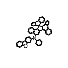 c1ccc(N(c2ccc3c(c2)oc2ccccc23)c2cc3c(c4ccccc24)C2(c4ccccc4-c4ccccc42)c2c-3c3ccccc3c3ccccc23)cc1